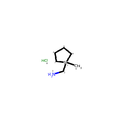 C[Si]1(CN)CCCC1.Cl